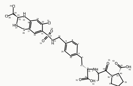 CC(N[C@@H](CCc1ccc(CNS(=O)(=O)c2cc3c(cc2Cl)N[C@H](C(Cl)Cl)NS3)cc1)C(=O)O)C(=O)N1CCC[C@H]1C(=O)O